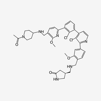 COc1cc(-c2nccc(-c3cccc(-c4ccc(CNC5CCN(C(C)=O)CC5)c(OC)n4)c3Cl)c2Cl)ccc1CNC[C@H]1CNC(=O)C1